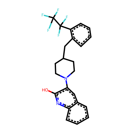 Oc1nc2ccccc2cc1N1CCC(Cc2ccccc2C(F)(F)C(F)(F)F)CC1